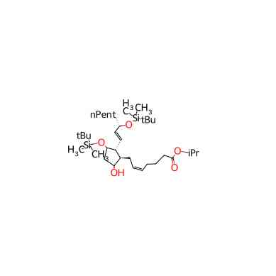 CCCCC[C@@H](/C=C/[C@H]1C(O[Si](C)(C)C(C)(C)C)C[C@H](O)[C@@H]1C/C=C\CCCC(=O)OC(C)C)O[Si](C)(C)C(C)(C)C